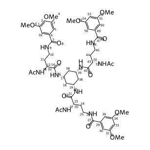 COc1cc(OC)cc(C(=O)NCC[C@H](NC(C)=O)C(=O)N[C@H]2C[C@@H](NC(=O)[C@H](CCNC(=O)c3cc(OC)cc(OC)c3)NC(C)=O)C[C@@H](NC(=O)[C@H](CCNC(=O)c3cc(OC)cc(OC)c3)NC(C)=O)C2)c1